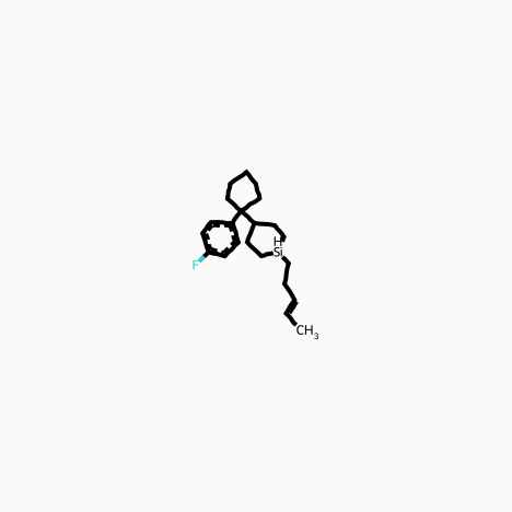 C/C=C/CC[SiH]1CCC(C2(c3ccc(F)cc3)CCCCC2)CC1